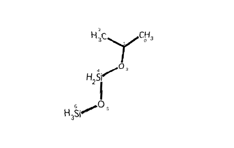 CC(C)O[SiH2]O[SiH3]